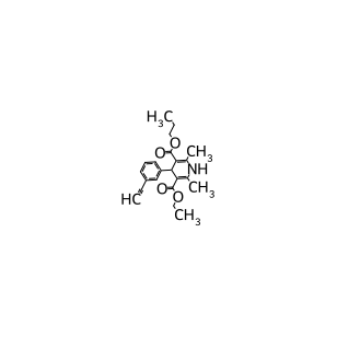 C#Cc1cccc(C2C(C(=O)OCC)=C(C)NC(C)=C2C(=O)OCCC)c1